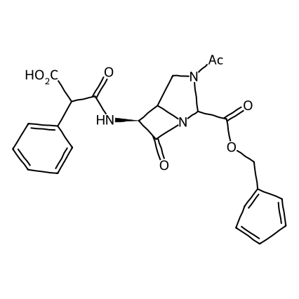 CC(=O)N1CC2[C@H](NC(=O)C(C(=O)O)c3ccccc3)C(=O)N2C1C(=O)OCc1ccccc1